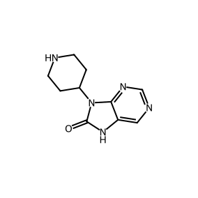 O=c1[nH]c2cncnc2n1C1CCNCC1